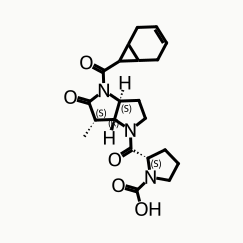 C[C@@H]1C(=O)N(C(=O)C2C3CC=CCC32)[C@H]2CCN(C(=O)[C@@H]3CCCN3C(=O)O)[C@H]12